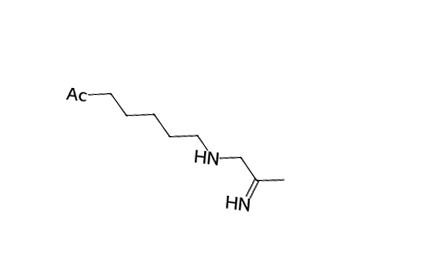 CC(=N)CNCCCCCC(C)=O